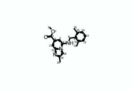 COC(=O)c1cc(NCc2c(C)cccc2C)n2cc(C)nc2c1